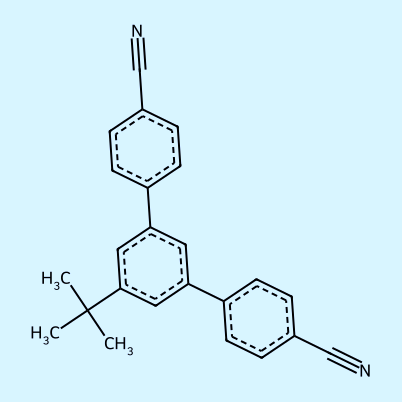 CC(C)(C)c1cc(-c2ccc(C#N)cc2)cc(-c2ccc(C#N)cc2)c1